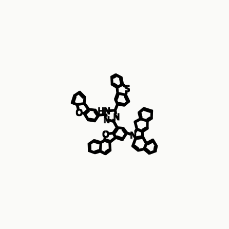 C1=CC2Oc3ccc(C4=NC(c5cc(N6c7ccc8ccccc8c7C7=Cc8ccccc8CC76)cc6c5oc5c7ccccc7ccc65)=NC(c5ccc6sc7ccccc7c6c5)N4)cc3C2C=C1